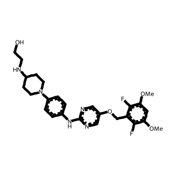 COc1cc(OC)c(F)c(COc2cnc(Nc3ccc(N4CCC(NCCO)CC4)cc3)nc2)c1F